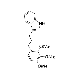 COc1c[c]c(CCCc2c[nH]c3ccccc23)c(OC)c1OC